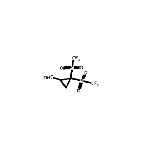 O=CC1CC1(S(=O)(=O)C(F)(F)F)S(=O)(=O)C(F)(F)F